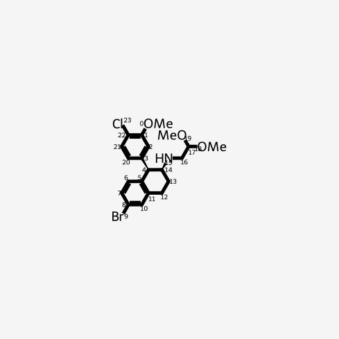 COc1cc([C@@H]2c3ccc(Br)cc3CC[C@@H]2NCC(OC)OC)ccc1Cl